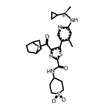 Cc1cc(N[C@H](C)C2CC2)ncc1-c1sc(C(=O)NC2CCS(=O)(=O)CC2)nc1C(=O)N1C2CCC1CC2